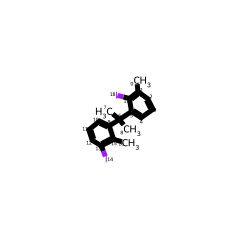 Cc1cccc(C(C)(C)c2cccc(I)c2C)c1I